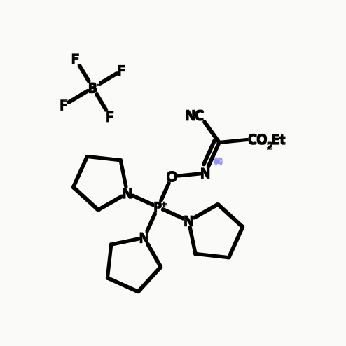 CCOC(=O)/C(C#N)=N/O[P+](N1CCCC1)(N1CCCC1)N1CCCC1.F[B-](F)(F)F